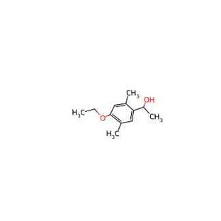 CCOc1cc(C)c(C(C)O)cc1C